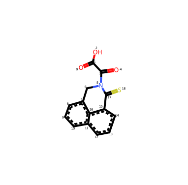 O=C(O)C(=O)N1Cc2cccc3cccc(c23)C1=S